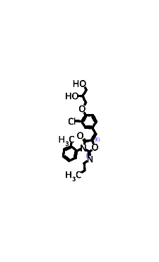 CCC/N=C1/O/C(=C/c2ccc(OCC(O)CO)c(Cl)c2)C(=O)N1c1ccccc1C